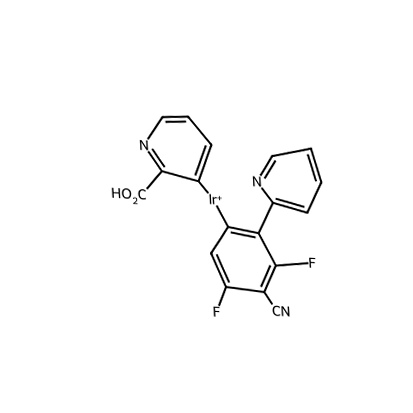 N#Cc1c(F)c[c]([Ir+][c]2cccnc2C(=O)O)c(-c2ccccn2)c1F